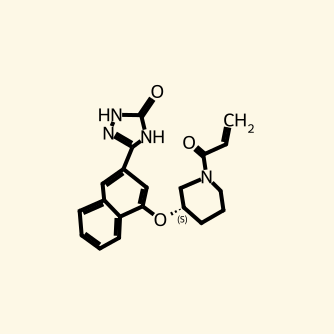 C=CC(=O)N1CCC[C@H](Oc2cc(-c3n[nH]c(=O)[nH]3)cc3ccccc23)C1